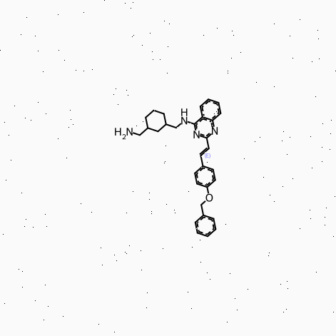 NCC1CCCC(CNc2nc(/C=C/c3ccc(OCc4ccccc4)cc3)nc3ccccc23)C1